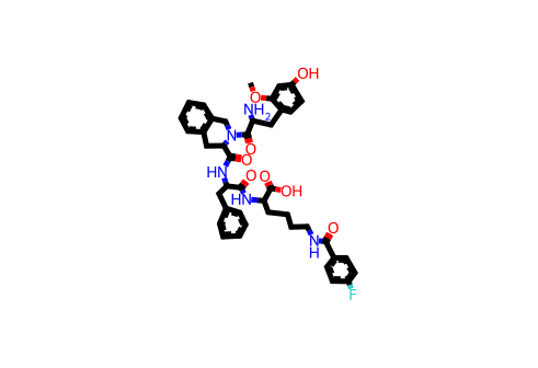 COc1cc(O)ccc1CC(N)C(=O)N1Cc2ccccc2CC1C(=O)NC(Cc1ccccc1)C(=O)NC(CCCCNC(=O)c1ccc(F)cc1)C(=O)O